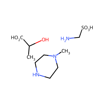 CC(O)C(=O)O.CN1CCNCC1.NCS(=O)(=O)O